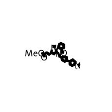 C=N\C=C(/C=C(C)/C=C/C(=O)OC)N(Cc1ccc(-c2ccc(N(C)C)cc2)cc1)C(=O)c1ccccc1